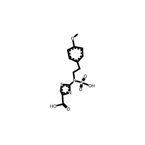 COc1ccc(CCN(c2nc(C(=O)O)cs2)S(=O)(=O)O)cc1